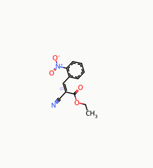 CCOC(=O)/C(C#N)=C\c1ccccc1[N+](=O)[O-]